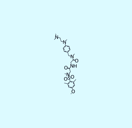 COc1cc(C)c(S(=O)(=O)N(C)CC(=O)NCC(=O)N(C)Cc2ccc(N(C)CCN(C)C)cc2)c(C)c1